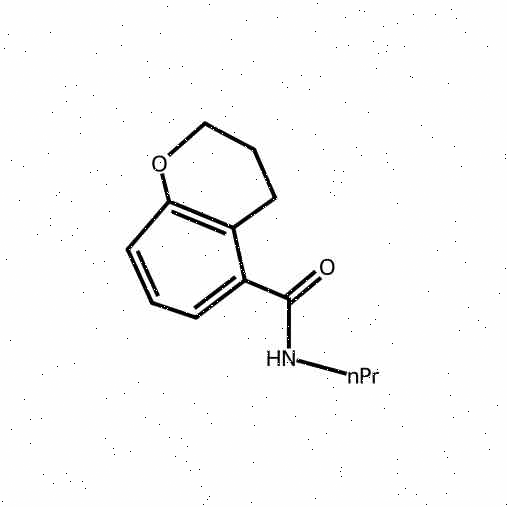 CCCNC(=O)c1cccc2c1CCCO2